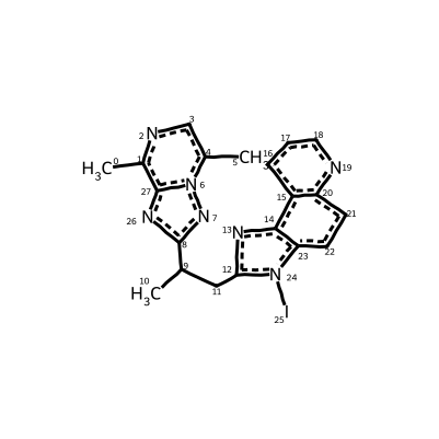 Cc1ncc(C)n2nc(C(C)Cc3nc4c5cccnc5ccc4n3I)nc12